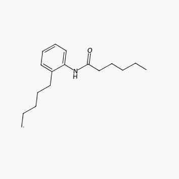 [CH2]CCCCc1ccccc1NC(=O)CCCCC